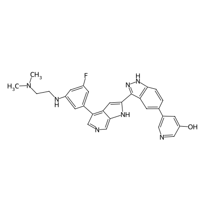 CN(C)CCNc1cc(F)cc(-c2cncc3[nH]c(-c4n[nH]c5ccc(-c6cncc(O)c6)cc45)cc23)c1